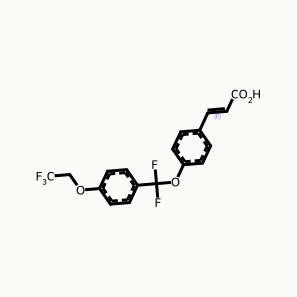 O=C(O)/C=C/c1ccc(OC(F)(F)c2ccc(OCC(F)(F)F)cc2)cc1